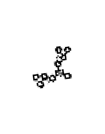 C1=CCCC(c2c(-c3ccccc3)ccc3c2sc2ccc(-c4nc(-c5ccccc5)nc(-c5ccc6sc7c(-c8ccccc8)c(-c8ccccc8)ccc7c6c5)n4)cc23)=C1